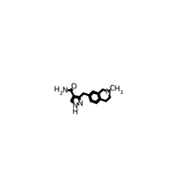 CN1CCc2ccc(Cc3n[nH]cc3C(N)=O)cc2C1